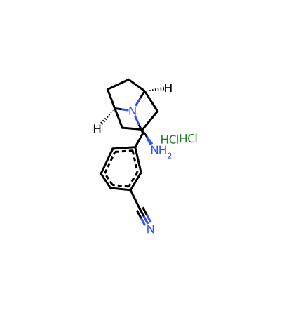 Cl.Cl.N#Cc1cccc(CN2[C@@H]3CC[C@H]2C[C@@H](N)C3)c1